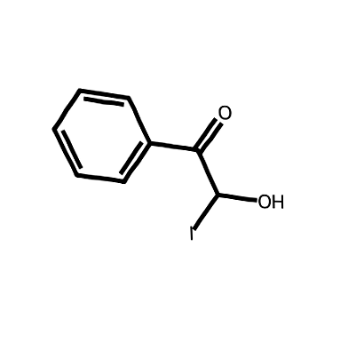 O=C(c1ccccc1)C(O)I